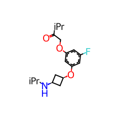 CC(C)N[C@H]1C[C@@H](Oc2cc(F)cc(OCC(=O)C(C)C)c2)C1